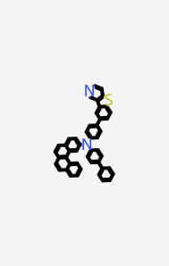 c1ccc(-c2ccc(N(c3ccc(-c4ccc5sc6ccncc6c5c4)cc3)c3ccc4ccc5ccc6ccccc6c5c4c3)cc2)cc1